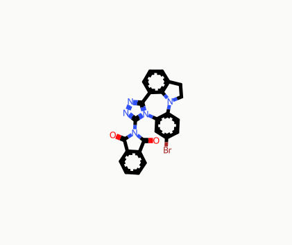 O=C1c2ccccc2C(=O)N1c1nnc2n1-c1cc(Br)ccc1N1CCc3cccc-2c31